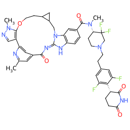 Cc1cc2cc(n1)-c1cnn(C)c1OCCC1CC1CN1/C(=N/C2=O)Nc2ccc(C(=O)N(C)[C@H]3CCN(CCc4cc(F)c([C@H]5CCC(=O)NC5=O)c(F)c4)CC3(F)F)cc21